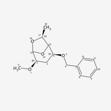 CO[C@@H]1C[C@H](OCc2ccccc2)C2OC1O[C@H]2C